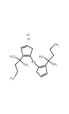 CCCC(C)(C)C1=[C]([Zr+2][C]2=C(C(C)(C)CCC)C=CC2)CC=C1.[Cl-].[Cl-]